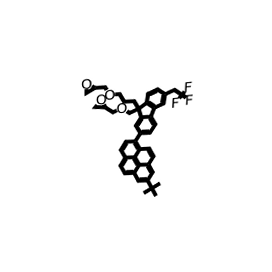 CC(C)(C)c1cc2ccc3ccc(-c4ccc5c(c4)C(CCCOCC4CO4)(COCC4CO4)c4ccc(CC(F)(F)F)cc4-5)c4ccc(c1)c2c34